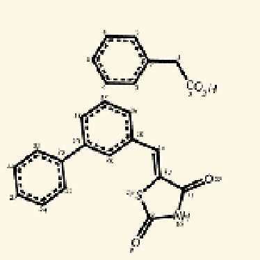 O=C(O)Cc1ccccc1.O=C1NC(=O)C(=Cc2cccc(-c3ccccc3)c2)S1